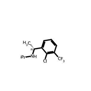 CC(C)N[C@H](C)c1cccc(C(F)(F)F)c1Cl